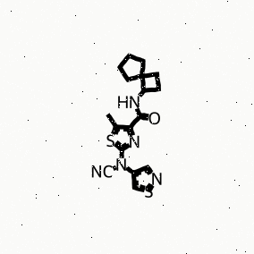 Cc1sc(N(C#N)c2cnsc2)nc1C(=O)NC1CCC12CCCC2